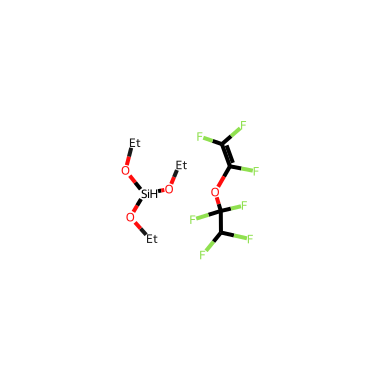 CCO[SiH](OCC)OCC.FC(F)=C(F)OC(F)(F)C(F)F